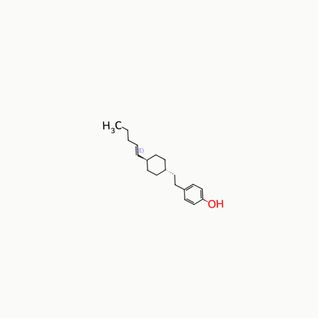 CCC/C=C/[C@H]1CC[C@H](CCc2ccc(O)cc2)CC1